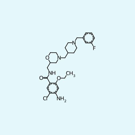 CCOc1cc(N)c(Cl)cc1C(=O)NCC1CN(CC2CCN(Cc3cccc(F)c3)CC2)CCO1